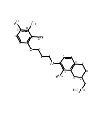 CCCc1c(OCCCOc2ccc3c(c2CCC)CC(CC(=O)O)CC3)ccc(C(C)=O)c1O